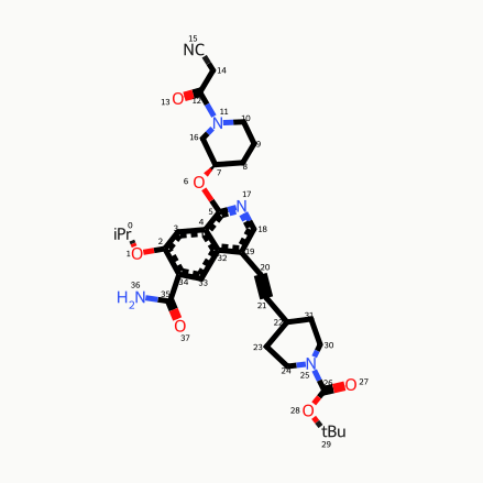 CC(C)Oc1cc2c(O[C@@H]3CCCN(C(=O)CC#N)C3)ncc(C#CC3CCN(C(=O)OC(C)(C)C)CC3)c2cc1C(N)=O